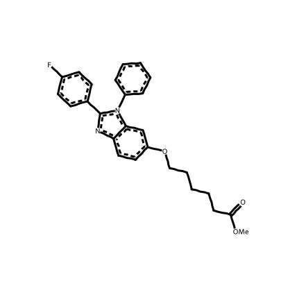 COC(=O)CCCCCOc1ccc2nc(-c3ccc(F)cc3)n(-c3ccccc3)c2c1